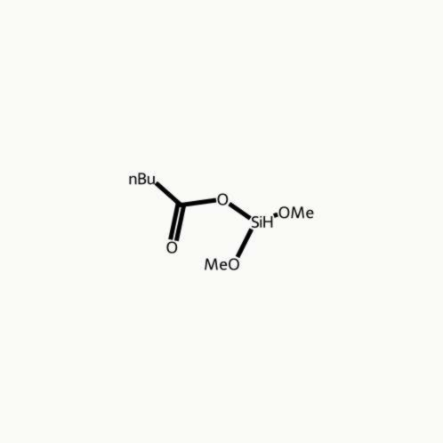 CCCCC(=O)O[SiH](OC)OC